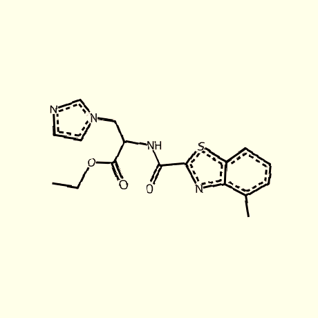 CCOC(=O)C(Cn1ccnc1)NC(=O)c1nc2c(C)cccc2s1